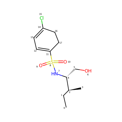 CC[C@H](C)[C@@H](CO)NS(=O)(=O)C1=CC=C(Cl)CC1